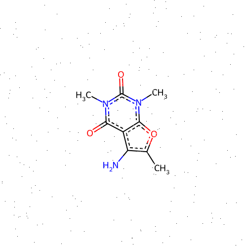 Cc1oc2c(c1N)c(=O)n(C)c(=O)n2C